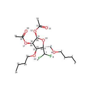 CCCCOC[C@@]1(C(F)F)O[C@H](OC(C)=O)[C@H](OC(C)=O)[C@@H]1OCCCC